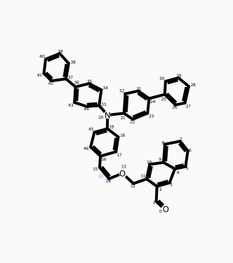 O=Cc1cc2ccccc2cc1CO/C=C\c1ccc(N(c2ccc(-c3ccccc3)cc2)c2ccc(-c3ccccc3)cc2)cc1